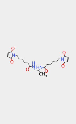 CC(CNC(=O)CCCCCN1C(=O)C=CC1=O)NC(=O)CCCCCN1C(=O)C=CC1=O